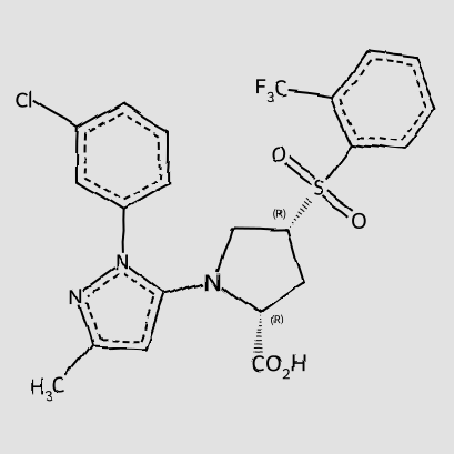 Cc1cc(N2C[C@H](S(=O)(=O)c3ccccc3C(F)(F)F)C[C@@H]2C(=O)O)n(-c2cccc(Cl)c2)n1